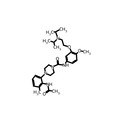 COc1ccc(NC(=O)N2CCN(c3cccc(C)c3NC(C)=O)CC2)cc1OCCN(C(C)C)C(C)C